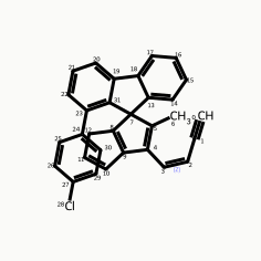 C#C/C=C\C1=C(C)C2(C3=C1C=CC3)c1ccccc1-c1cccc(-c3ccc(Cl)cc3)c12